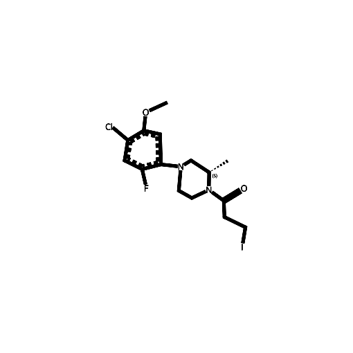 COc1cc(N2CCN(C(=O)CCI)[C@@H](C)C2)c(F)cc1Cl